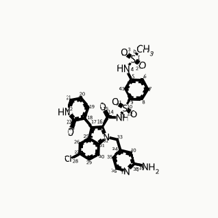 CS(=O)(=O)Nc1cccc(S(=O)(=O)NC(=O)c2c(-c3ccc[nH]c3=O)c3cc(Cl)ccc3n2Cc2ccnc(N)c2)c1